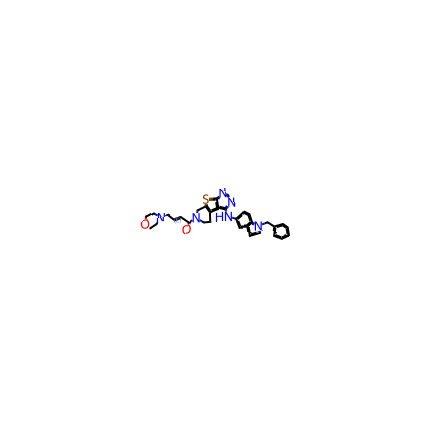 O=C(/C=C/CN1CCOCC1)N1CCc2c(sc3ncnc(Nc4ccc5c(ccn5Cc5ccccc5)c4)c23)C1